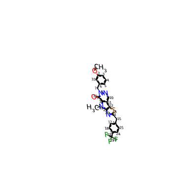 COc1cccc(Cn2ncc3c4sc(Cc5ccc(C(F)(F)F)cc5)nc4n(C)c3c2=O)c1